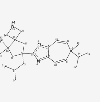 CC(F)CC1(c2nc3c(o2)C=CC(C)(C(C)C)C=C3)CC(C)(F)C2(CNC2)C1